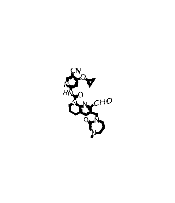 CN1CCCN(Cc2cc3c(nc2C=O)N(C(=O)Nc2cc(OC4CC4)c(C#N)cn2)CCC3)C(=O)C1